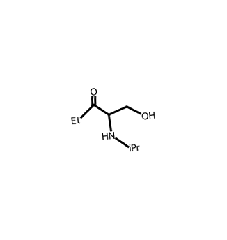 CCC(=O)C(CO)NC(C)C